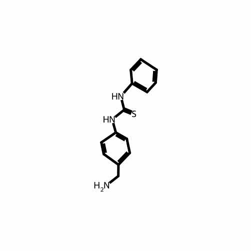 NCc1ccc(NC(=S)Nc2ccccc2)cc1